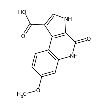 COc1ccc2c(c1)[nH]c(=O)c1[nH]cc(C(=O)O)c12